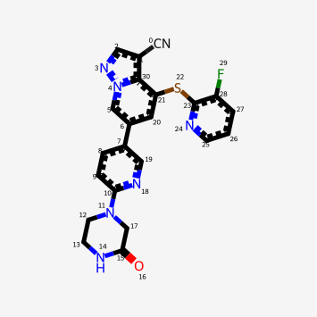 N#Cc1cnn2cc(-c3ccc(N4CCNC(=O)C4)nc3)cc(Sc3ncccc3F)c12